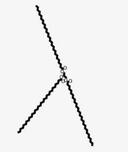 CCCCCCCCCCCCCCCCCCCCCCCCCCCCCC(=O)OCC(COC(=O)CCCCCCCCCCCCCCCCCCCCCCCCCCCCC)OC(=O)CCCCCCCCCCCCCCCCCCCCCCCCCCCCC